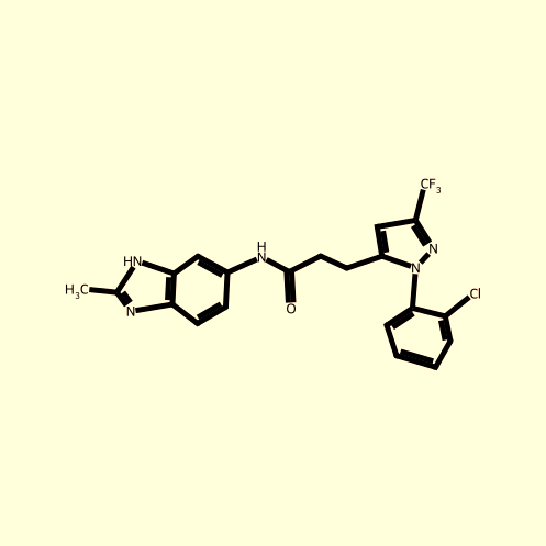 Cc1nc2ccc(NC(=O)CCc3cc(C(F)(F)F)nn3-c3ccccc3Cl)cc2[nH]1